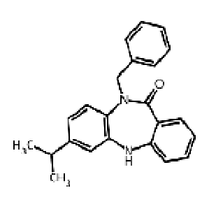 CC(C)c1ccc2c(c1)Nc1ccccc1C(=O)N2Cc1ccccc1